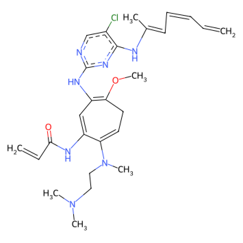 C=C/C=C\C=C(/C)Nc1nc(NC2=C(OC)CC=C(N(C)CCN(C)C)C(NC(=O)C=C)=C2)ncc1Cl